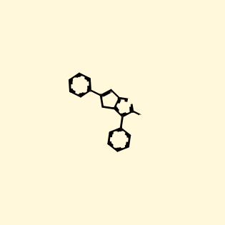 Cc1sc2c(c1-c1ccccc1)CC(c1ccccc1)=C2